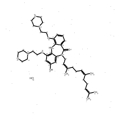 CC(C)=CCCC(C)=CCCC(C)=CCN1C(=O)c2cccc(OCCN3CCOCC3)c2Nc2c(OCCN3CCOCC3)cc(O)cc21.Cl